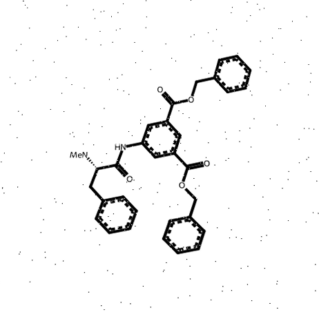 CN[C@@H](Cc1ccccc1)C(=O)Nc1cc(C(=O)OCc2ccccc2)cc(C(=O)OCc2ccccc2)c1